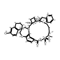 C[C@@H]1[C@@H](C)CCC[C@@](O)(Cc2ccccn2)[C@@H]2CC[C@H]2CN2C[C@@]3(CCCc4cc(Cl)ccc43)COc3ccc(cc32)C(=O)NS1(=O)=O